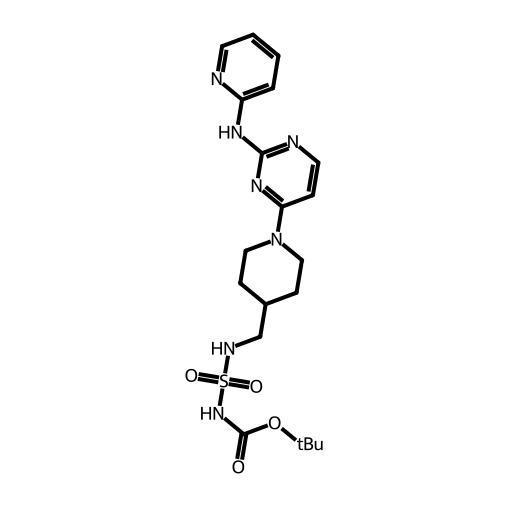 CC(C)(C)OC(=O)NS(=O)(=O)NCC1CCN(c2ccnc(Nc3ccccn3)n2)CC1